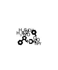 CCCN(C(=O)OCc1ccccc1)C1CCN(CC2CC(N(C)C(=O)N(C)C)CC2c2ccccc2)CC1